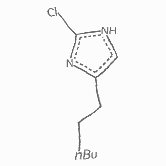 CCCCCCc1c[nH]c(Cl)n1